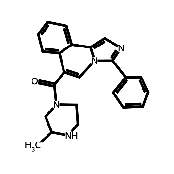 CC1CN(C(=O)c2cn3c(-c4ccccc4)ncc3c3ccccc23)CCN1